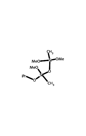 CO[Si](C)(OC)O[Si](C)(OC)OC(C)C